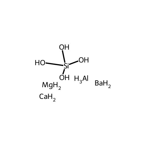 O[Si](O)(O)O.[AlH3].[BaH2].[CaH2].[MgH2]